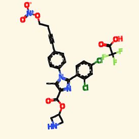 Cc1c(C(=O)OC2CNC2)nc(-c2ccc(Cl)cc2Cl)n1-c1ccc(C#CCCO[N+](=O)[O-])cc1.O=C(O)C(F)(F)F